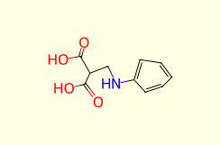 O=C(O)C(CNc1ccccc1)C(=O)O